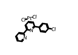 Clc1ccc(-c2cccc(-c3ccccn3)n2)cc1.[Cl][Pt][Cl]